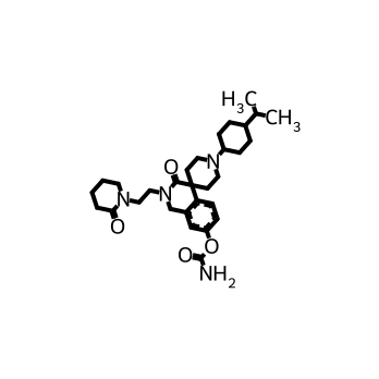 CC(C)C1CCC(N2CCC3(CC2)C(=O)N(CCN2CCCCC2=O)Cc2cc(OC(N)=O)ccc23)CC1